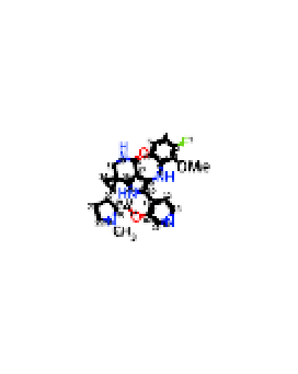 COc1c(F)cccc1Nc1c(-c2ccncc2OC[C@H]2CCCN2C)[nH]c2c1C(=O)NCC21CC1